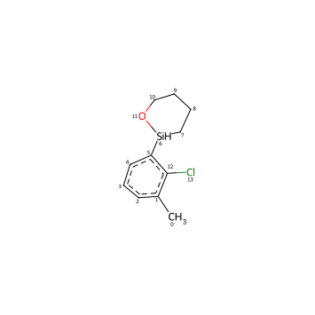 Cc1cccc([SiH]2CCCCO2)c1Cl